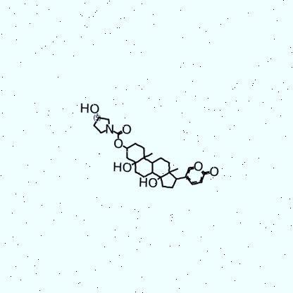 CC12CCC(OC(=O)N3CC[C@H](O)C3)CC1(O)CCC1C2CCC2(C)C(c3ccc(=O)oc3)CCC12O